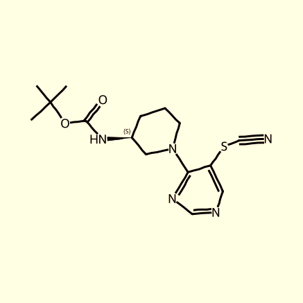 CC(C)(C)OC(=O)N[C@H]1CCCN(c2ncncc2SC#N)C1